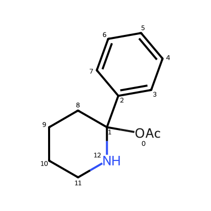 CC(=O)OC1(c2ccccc2)CCCCN1